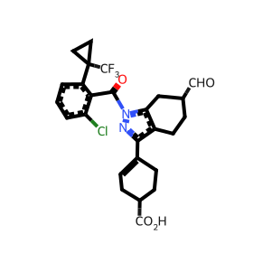 O=CC1CCc2c(C3=CCC(C(=O)O)CC3)nn(C(=O)c3c(Cl)cccc3C3(C(F)(F)F)CC3)c2C1